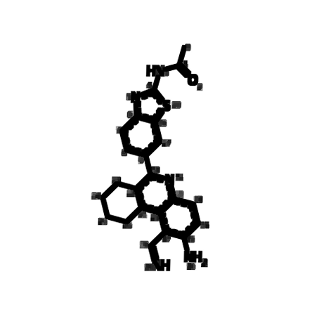 CC(=O)Nc1nc2ccc(-c3nc4ccc(N)c(C=N)c4c4c3CCCC4)cc2s1